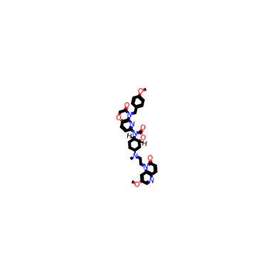 COc1ccc(CN2C(=O)COc3ccc(N4C(=O)O[C@@H]5C[C@@H](N(C)CCn6c(=O)ccc7ncc(OC)cc76)CC[C@@H]54)nc32)cc1